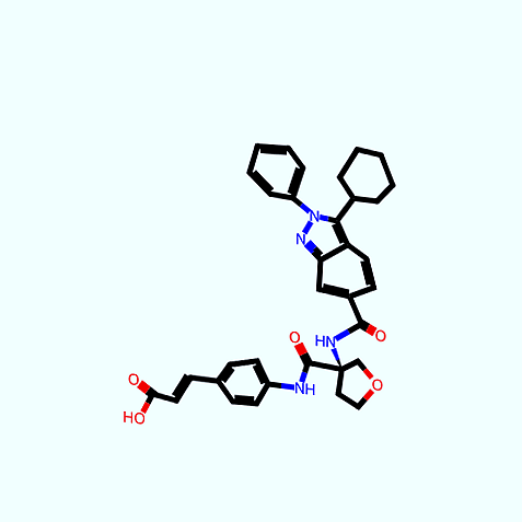 O=C(O)/C=C/c1ccc(NC(=O)[C@@]2(NC(=O)c3ccc4c(C5CCCCC5)n(-c5ccccc5)nc4c3)CCOC2)cc1